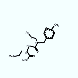 COC(=O)[C@H](CCSC)NC(=O)[C@@H](CSC(C)=O)Cc1ccc(C)cc1